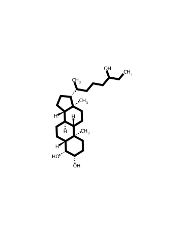 CCC(O)CCCC(C)[C@H]1CC[C@H]2[C@@H]3CC[C@H]4[C@@H](O)[C@@H](O)CC[C@]4(C)[C@H]3CC[C@]12C